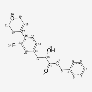 O=C(OCc1ccccc1)[C@@H](O)Cc1ccc(C2=CCOCC2)c(F)c1